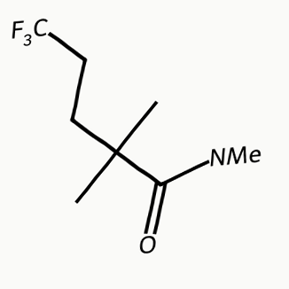 CNC(=O)C(C)(C)CCC(F)(F)F